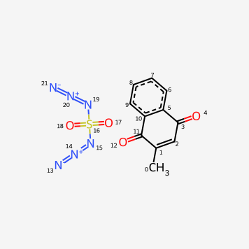 CC1=CC(=O)c2ccccc2C1=O.[N-]=[N+]=NS(=O)(=O)N=[N+]=[N-]